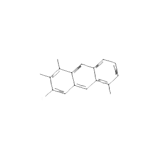 Fc1[c]c2cc3c(F)c[c]cc3cc2c(F)c1F